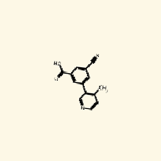 Cc1ccncc1-c1cc(C#N)cc(C(=O)O)c1